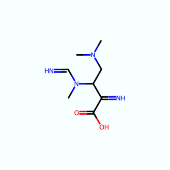 CN(C)CC(C(=N)C(=O)O)N(C)C=N